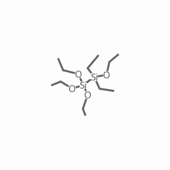 CCO[Si](CC)(CC)[Si](OCC)(OCC)OCC